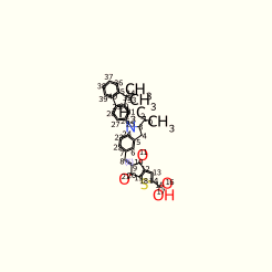 CC(C)C1Cc2cc(/C=C3\C(=O)c4cc(C(=O)O)sc4C3=O)ccc2N1c1ccc2c(c1)C(C)(C)c1ccccc1-2